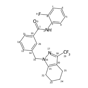 O=C(Nc1ccccc1F)c1cccc(Cn2nc(C(F)(F)F)c3c2CCCC3)c1